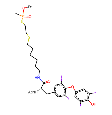 CCOP(C)(=O)SCCSCCCCCCNC(=O)[C@H](Cc1cc(I)c(Oc2cc(I)c(O)c(I)c2)c(I)c1)NC(C)=O